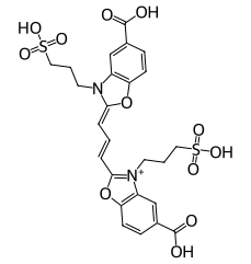 O=C(O)c1ccc2c(c1)N(CCCS(=O)(=O)O)/C(=C/C=C/c1oc3ccc(C(=O)O)cc3[n+]1CCCS(=O)(=O)O)O2